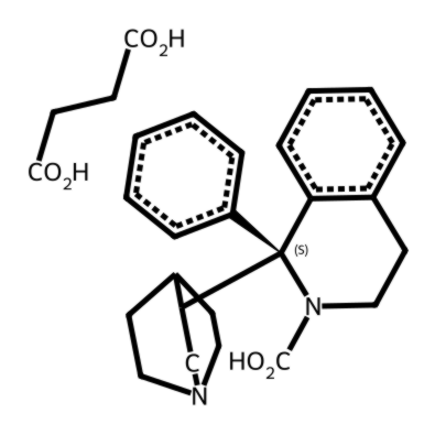 O=C(O)CCC(=O)O.O=C(O)N1CCc2ccccc2[C@@]1(c1ccccc1)C1CN2CCC1CC2